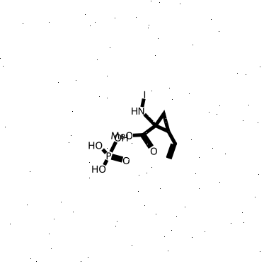 C=CC1CC1(NI)C(=O)OC.O=P(O)(O)O